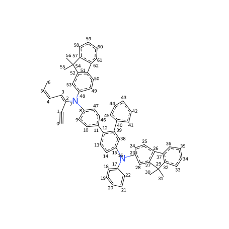 C#C/C(=C\C=C/C)N(c1ccc(-c2ccc(N(C3=C=C=CC=C3)c3ccc4c(c3)C(C)(C)c3ccccc3-4)cc2-c2ccccc2)cc1)c1ccc2c(c1)C(C)(C)c1ccccc1-2